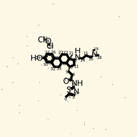 Cc1cnc(NC(=O)CC[C@@H]2CC(NCCCN(C)C)[C@@]3(C)CCC4c5ccc(O)cc5CCC4C23)s1.ClOCl